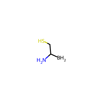 BC(N)CS